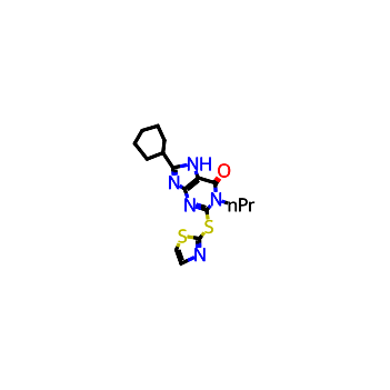 CCCn1c(Sc2nccs2)nc2nc(C3CCCCC3)[nH]c2c1=O